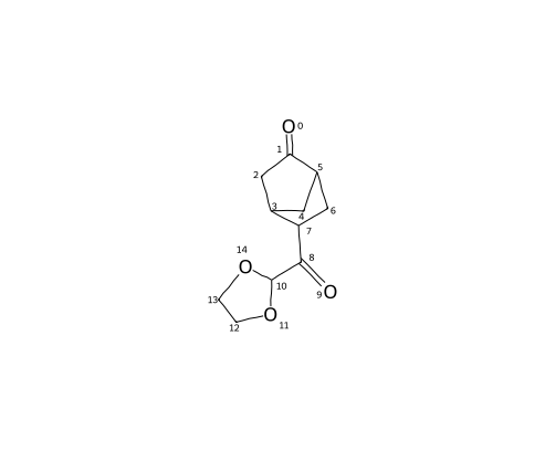 O=C1CC2CC1CC2C(=O)C1OCCO1